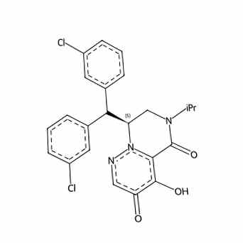 CC(C)N1C[C@H](C(c2cccc(Cl)c2)c2cccc(Cl)c2)n2ncc(=O)c(O)c2C1=O